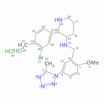 COc1ccc(-n2nnnc2C)cc1CNC1CCCNC1c1ccc(C)c(Br)c1.Cl.Cl